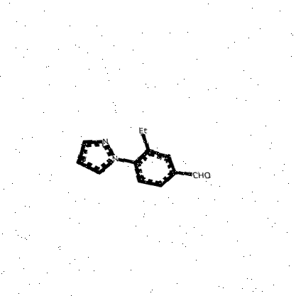 CCc1cc(C=O)ccc1-n1cccn1